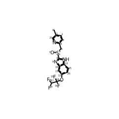 Cc1ccc(C[S+]([O-])c2nc3cc(OC(F)(F)C(F)F)ccc3[nH]2)nc1